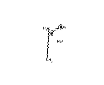 CCCCCCCCCCCCCCCCCCC(CCC)C(=O)OCCOCCOP(=O)([O-])O.[Na+]